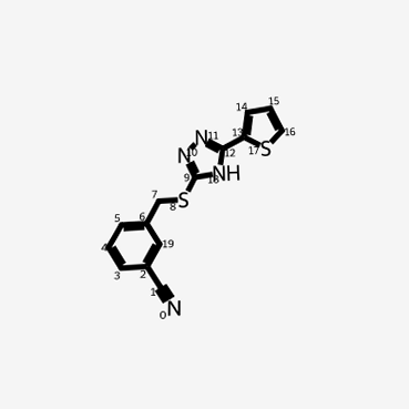 N#Cc1cccc(CSc2nnc(-c3cccs3)[nH]2)c1